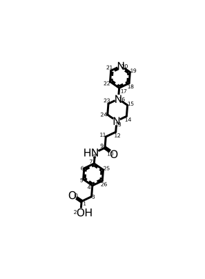 O=C(O)Cc1ccc(NC(=O)CCN2CCN(c3ccncc3)CC2)cc1